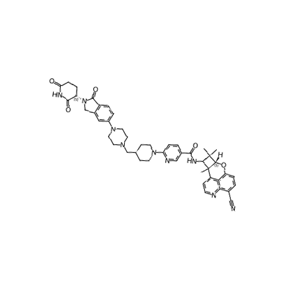 CC1(C)C(NC(=O)c2ccc(N3CCC(CN4CCN(c5ccc6c(c5)CN([C@H]5CCC(=O)NC5=O)C6=O)CC4)CC3)nc2)C2(C)c3ccnc4c(C#N)ccc(c34)O[C@@H]12